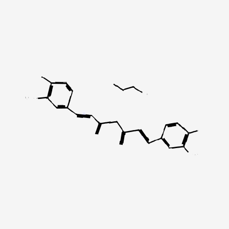 COc1cc(/C=C/C(=O)CC(=O)/C=C/c2ccc(O)c(OC)c2)ccc1O.OCCO